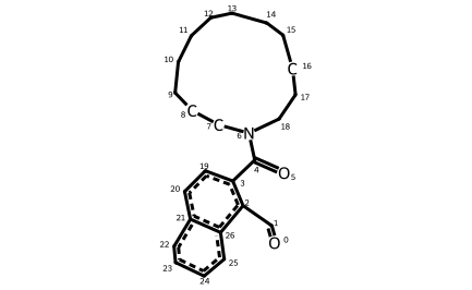 O=Cc1c(C(=O)N2CCCCCCCCCCCC2)ccc2ccccc12